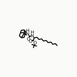 CCCCCCCCCCC(NC(=O)NC12CC3CC(CC(C3)C1)C2)C(=O)OC(C)(C)C